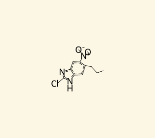 CCCc1cc2[nH]c(Cl)nc2cc1[N+](=O)[O-]